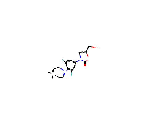 C[Si]1(C)CCN(c2c(F)cc(N3CC(CO)OC3=O)cc2F)CC1